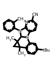 Cc1ccccc1N1c2nc(C#N)ccc2N2c3cc(C(C)(C)C)ccc3C3(C)CC3(C)C21